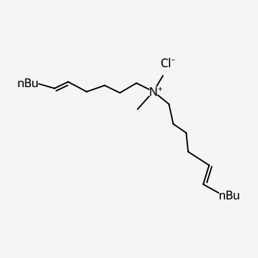 CCCCC=CCCCC[N+](C)(C)CCCCC=CCCCC.[Cl-]